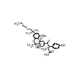 CCCCCCC(C)(C)c1cc(O)c2c(c1)OC(C)(C)[C@@H]1CC=C(C(=O)C(c3ccc(O)cc3)[C@@H](N)C(=O)O)C[C@@H]21